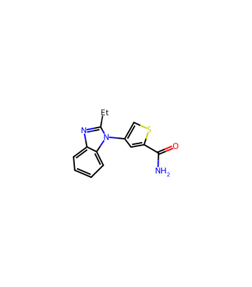 CCc1nc2ccccc2n1-c1csc(C(N)=O)c1